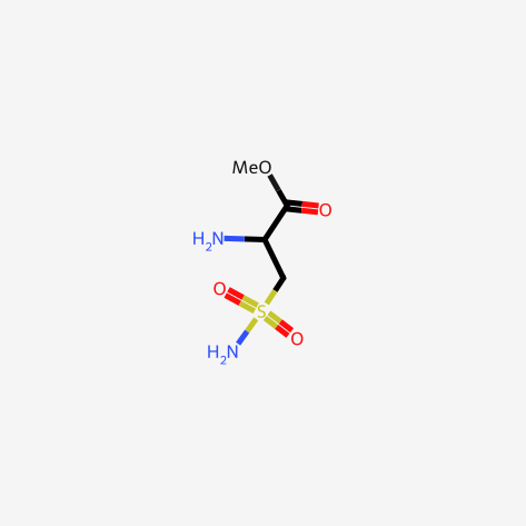 COC(=O)C(N)CS(N)(=O)=O